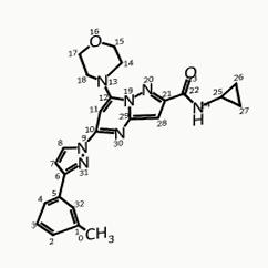 Cc1cccc(-c2ccn(-c3cc(N4CCOCC4)n4nc(C(=O)NC5CC5)cc4n3)n2)c1